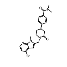 CN(C)C(=O)c1ccc(N2CCN(Cc3cc4c(Br)ccnc4n3C)C(=O)C2)cc1